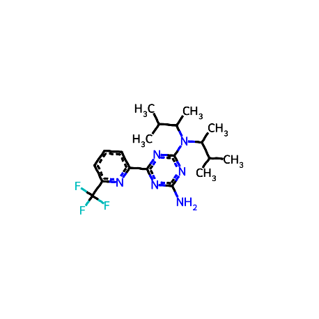 CC(C)C(C)N(c1nc(N)nc(-c2cccc(C(F)(F)F)n2)n1)C(C)C(C)C